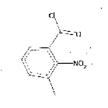 Cc1cccc(C(=O)Cl)c1[N+](=O)[O-]